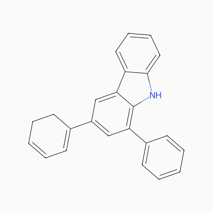 C1=CCCC(c2cc(-c3ccccc3)c3[nH]c4ccccc4c3c2)=C1